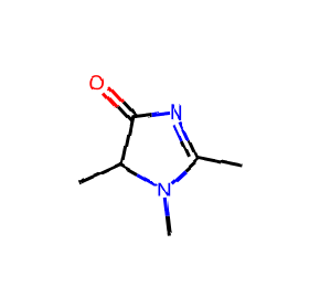 CC1=NC(=O)C(C)N1C